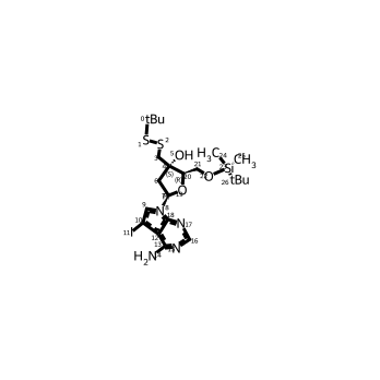 CC(C)(C)SSC[C@]1(O)C[C@H](n2cc(I)c3c(N)ncnc32)O[C@@H]1CO[Si](C)(C)C(C)(C)C